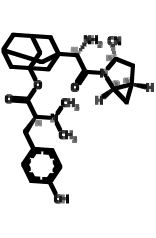 CN(C)[C@@H](Cc1ccc(O)cc1)C(=O)OC12CC3CC(C1)CC([C@H](N)C(=O)N1[C@H](C#N)C[C@@H]4C[C@@H]41)(C3)C2